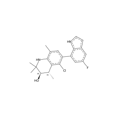 Cc1cc(-c2cc(F)cc3cc[nH]c23)c(Cl)c2c1NC(C)(C)[C@H](O)[C@H]2C